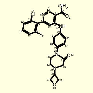 NC(=O)c1nnc(-c2c(F)cccc2Cl)cc1Nc1ccc(N2CCN(C3COC3)CC2=O)cc1